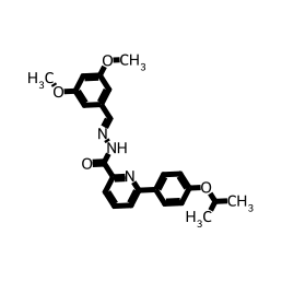 COc1cc(C=NNC(=O)c2cccc(-c3ccc(OC(C)C)cc3)n2)cc(OC)c1